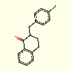 O=C1c2ccccc2CCC1Cc1ccc(F)cc1